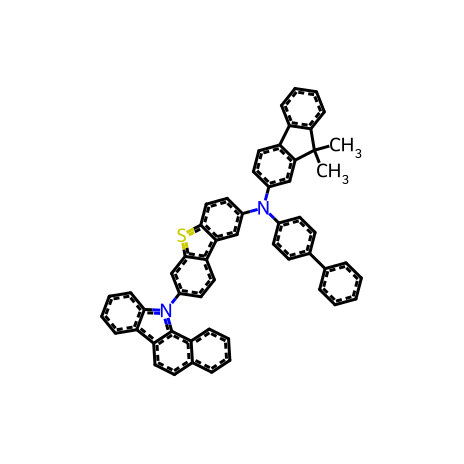 CC1(C)c2ccccc2-c2ccc(N(c3ccc(-c4ccccc4)cc3)c3ccc4sc5cc(-n6c7ccccc7c7ccc8ccccc8c76)ccc5c4c3)cc21